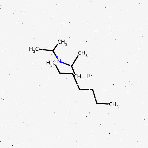 CC(C)[N-]C(C)C.CCCCCCC.[Li+]